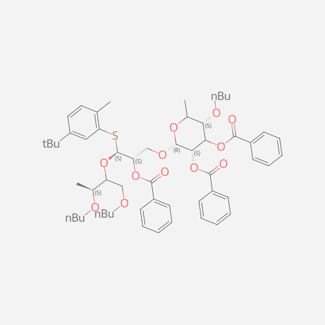 CCCCOCC(O[C@@H](Sc1cc(C(C)(C)C)ccc1C)[C@H](CO[C@@H]1OC(C)[C@H](OCCCC)C(OC(=O)c2ccccc2)[C@@H]1OC(=O)c1ccccc1)OC(=O)c1ccccc1)[C@H](C)OCCCC